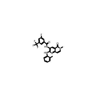 Cc1ccccc1Nc1nc2ccn(C)c(=O)c2cc1NC(=O)c1cc(F)cc(C(F)(F)F)c1